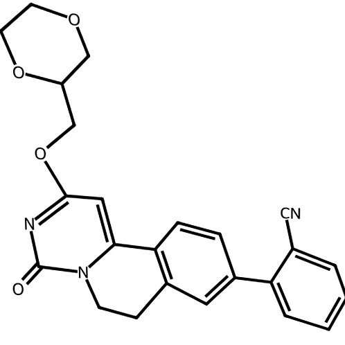 N#Cc1ccccc1-c1ccc2c(c1)CCn1c-2cc(OCC2COCCO2)nc1=O